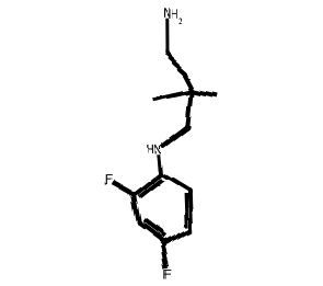 CC(C)(CCN)CNc1ccc(F)cc1F